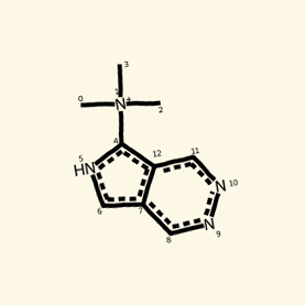 C[N+](C)(C)c1[nH]cc2cnncc12